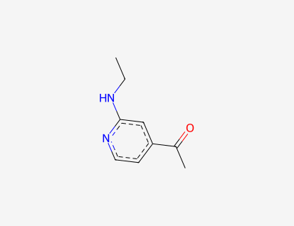 CCNc1cc(C(C)=O)ccn1